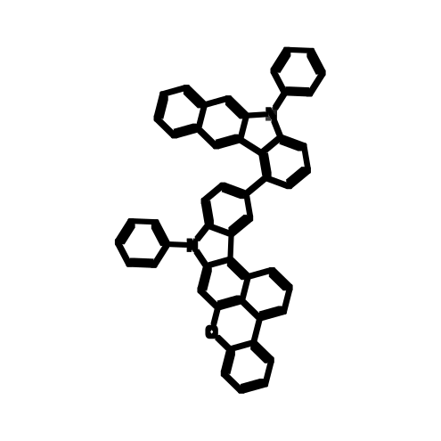 c1ccc(-n2c3cc4ccccc4cc3c3c(-c4ccc5c(c4)c4c6cccc7c6c(cc4n5-c4ccccc4)Oc4ccccc4-7)cccc32)cc1